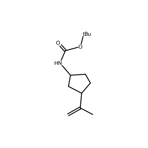 C=C(C)C1CCC(NC(=O)OC(C)(C)C)C1